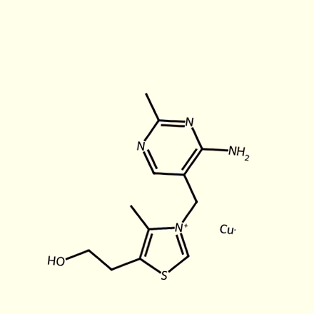 Cc1ncc(C[n+]2csc(CCO)c2C)c(N)n1.[Cu]